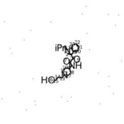 CC(C)n1cc(C(=O)C(=O)NC2CCN(CCCO)CC2)c2ccccc21